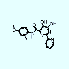 COc1ccc(NC(=O)c2nc(-c3ccccn3)nc(O)c2O)c(C)c1